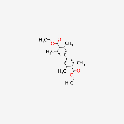 CCOC(=O)c1c(C)cc(-c2cc(C)c(C(=O)OCC)c(C)c2)cc1C